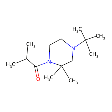 CC(C)C(=O)N1CCN(C(C)(C)C)CC1(C)C